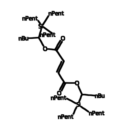 CCCCC[Si](CCCCC)(CCCCC)C(CCCC)OC(=O)/C=C/C(=O)OC(CCCC)[Si](CCCCC)(CCCCC)CCCCC